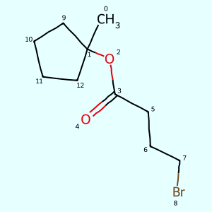 CC1(OC(=O)CCCBr)CCCC1